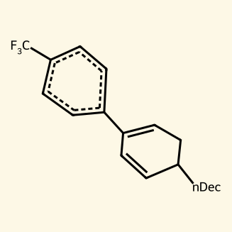 CCCCCCCCCCC1C=CC(c2ccc(C(F)(F)F)cc2)=CC1